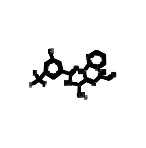 CC(NC(=O)c1cc(Cl)cc(C(F)(F)F)c1)/C(=N/C(=N)C=O)Nc1ncccn1